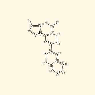 Cc1ccn(-c2cc(-c3ccc4cccnc4c3)ccc2C(C)C)n1